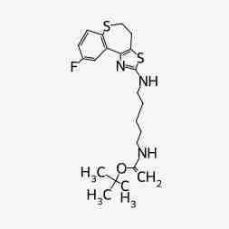 C=C(NCCCCCNc1nc2c(s1)CCSc1ccc(F)cc1-2)OC(C)(C)C